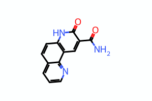 NC(=O)c1cc2c(ccc3cccnc32)[nH]c1=O